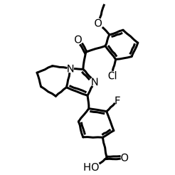 COc1cccc(Cl)c1C(=O)c1nc(-c2ccc(C(=O)O)cc2F)c2n1CCCC2